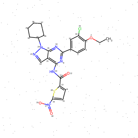 CCOc1ccc(-c2nc(NC(=O)c3ccc([N+](=O)[O-])s3)c3cnn(C4CCCCC4)c3n2)cc1Cl